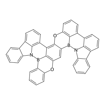 c1ccc2c(c1)Oc1cc3c(c4c1B2n1c2ccccc2c2cccc-4c21)Oc1cccc2c1B3n1c3ccccc3c3cccc-2c31